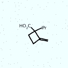 C=C1CCC1(C(=O)O)C(C)C